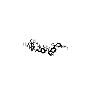 Cc1c(Oc2ccnc3ccc(C(=O)N4CCC(N)C4)cc23)ccc(CC(=O)Nc2cnn(C(C)(C)C)c2)c1F